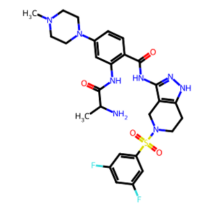 CC(N)C(=O)Nc1cc(N2CCN(C)CC2)ccc1C(=O)Nc1n[nH]c2c1CN(S(=O)(=O)c1cc(F)cc(F)c1)CC2